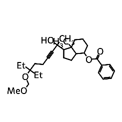 CCC(CC)(CCC#CC(C)(O)C1CCC2C(OC(=O)c3ccccc3)CCCC21C)OCOC